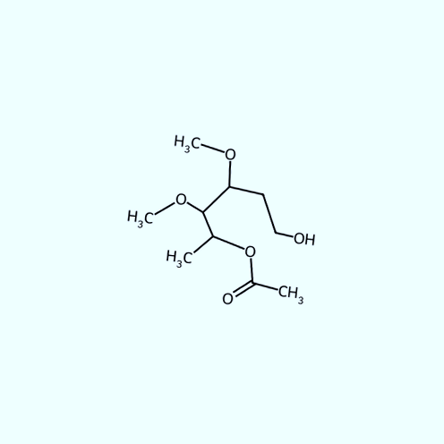 COC(CCO)C(OC)C(C)OC(C)=O